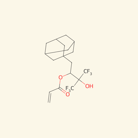 C=CC(=O)OC(CC12CC3CC(CC(C3)C1)C2)C(O)(C(F)(F)F)C(F)(F)F